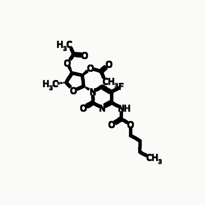 CCCCOC(=O)Nc1nc(=O)n([C@@H]2O[C@H](C)[C@@H](OC(C)=O)[C@H]2OC(C)=O)cc1F